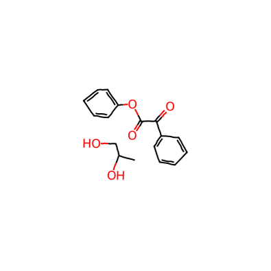 CC(O)CO.O=C(Oc1ccccc1)C(=O)c1ccccc1